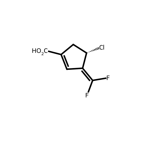 O=C(O)C1=CC(=C(F)F)[C@@H](Cl)C1